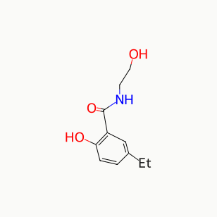 CCc1ccc(O)c(C(=O)NCCO)c1